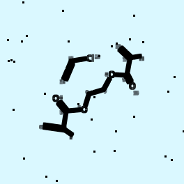 C=C(C)C(=O)OCCOC(=O)C(=C)C.C=CCl